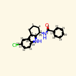 O=C(N[C@@H]1CCCc2c1[nH]c1ccc(Cl)cc21)c1ccccc1